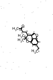 CCc1cc2c3c(coc3c1)C(CCC(C)=O)C(C)(C)O2